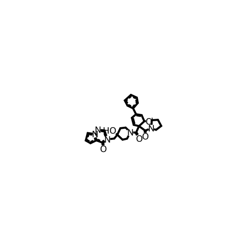 O=C(N1CCCC1)C1(C(=O)N2CCC(O)(Cn3cnn4cccc4c3=O)CC2)C=CC(c2ccccc2)=CC1Cl